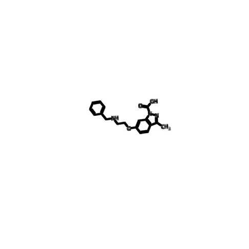 Cc1nn(C(=O)O)c2cc(OCCNCc3ccccc3)ccc12